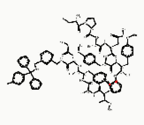 CC[C@H](NC(=O)[C@@H](NC(=O)CN[C@@H](O)[C@H](Cc1ccc(OC(C)(C)C)cc1)NC(=O)[C@H](Cc1ccc(OC(C)(C)C)cc1)NC(=O)[C@H](CC(=O)OC(C)(C)C)NC(=O)[C@H](CC)NC(=O)[C@@H]1CCCN1C(=O)[C@@H](N)CC(C)C)C(C)OC(C)(C)C)C(=O)N[C@@H](Cc1ccc(-c2ccccc2)cc1)[C@H](O)N[C@@H](CC(=O)OC(C)(C)C)C(=O)NCc1cccc(CNC(c2ccccc2)(c2ccccc2)c2ccc(C)cc2)c1